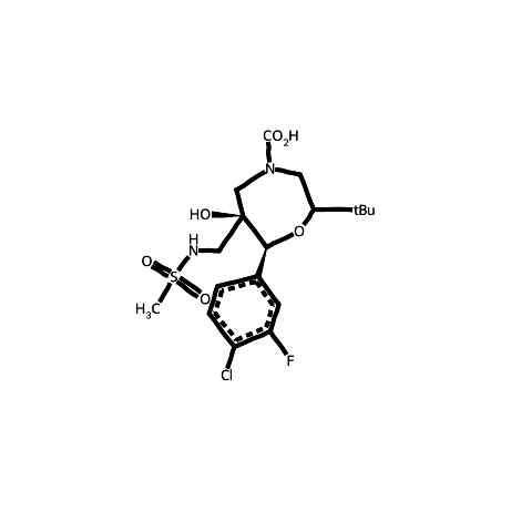 CC(C)(C)C1CN(C(=O)O)C[C@@](O)(CNS(C)(=O)=O)[C@H](c2ccc(Cl)c(F)c2)O1